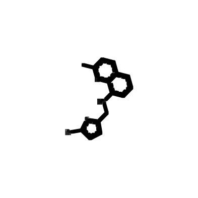 Cc1ccc2cccc(NCc3ccc(Br)s3)c2n1